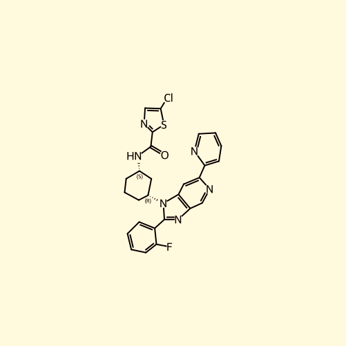 O=C(N[C@H]1CCC[C@@H](n2c(-c3ccccc3F)nc3cnc(-c4ccccn4)cc32)C1)c1ncc(Cl)s1